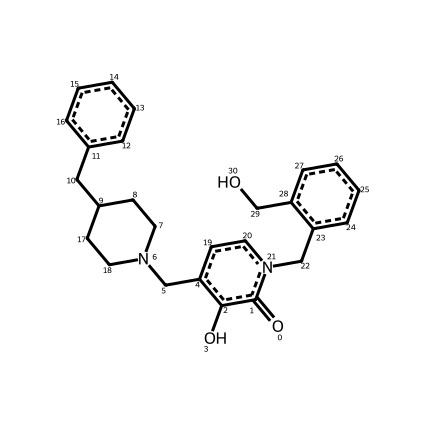 O=c1c(O)c(CN2CCC(Cc3ccccc3)CC2)ccn1Cc1ccccc1CO